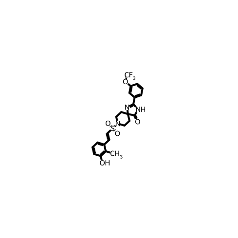 Cc1c(O)cccc1C=CS(=O)(=O)N1CCC2(CC1)N=C(c1cccc(OC(F)(F)F)c1)NC2=O